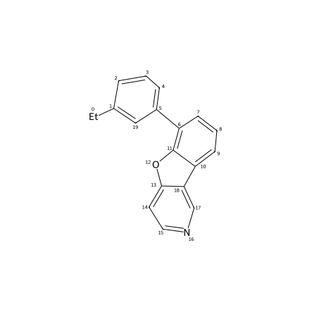 CCc1cccc(-c2cccc3c2oc2ccncc23)c1